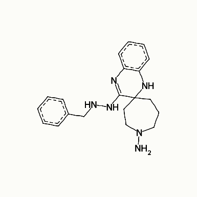 NN1CCCC2(CC1)Nc1ccccc1N=C2NNCc1ccccc1